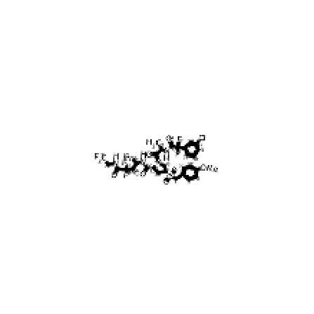 COc1ccc(CS(=O)(=O)[C@@H]2C[C@@H](C(=O)NC(C(=O)C(F)(F)C(=O)NCC(F)(F)F)C(C)C)N(C(=O)C(C)NC(=O)C(F)(F)c3cccc(Cl)c3)C2)cc1